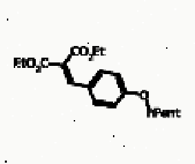 CCCCCOc1ccc(C=C(C(=O)OCC)C(=O)OCC)cc1